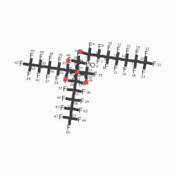 O=P(C(F)(F)C(F)(F)C(F)(F)C(F)(F)C(F)(F)C(F)(F)C(F)(F)F)(C(F)(F)C(F)(F)C(F)(F)C(F)(F)C(F)(F)C(F)(F)C(F)(F)F)C(F)(F)C(F)(F)C(F)(F)C(F)(F)C(F)(F)C(F)(F)C(F)(F)F